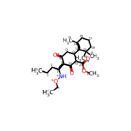 CCCC(NOCC)=C1C(=O)CC(C2=C(C)CCCC2(C)C)C(C(=O)OC)C1=O